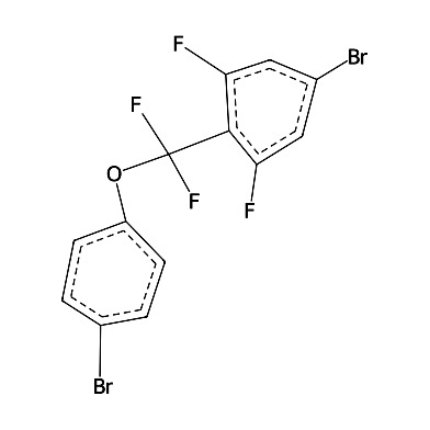 Fc1cc(Br)cc(F)c1C(F)(F)Oc1ccc(Br)cc1